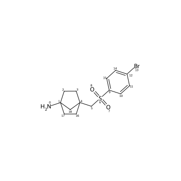 NC12CCC(CS(=O)(=O)c3ccc(Br)cc3)(CC1)C2